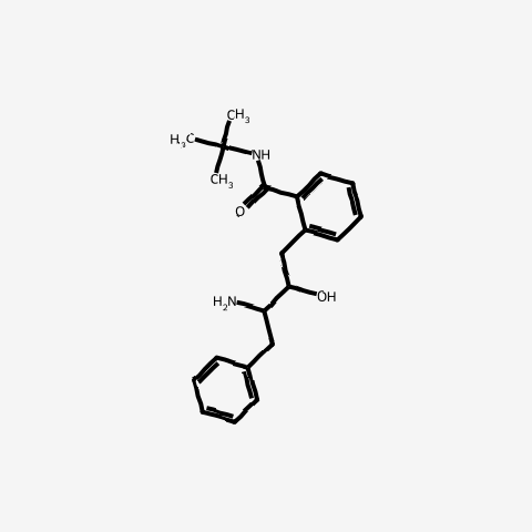 CC(C)(C)NC(=O)c1ccccc1CC(O)C(N)Cc1ccccc1